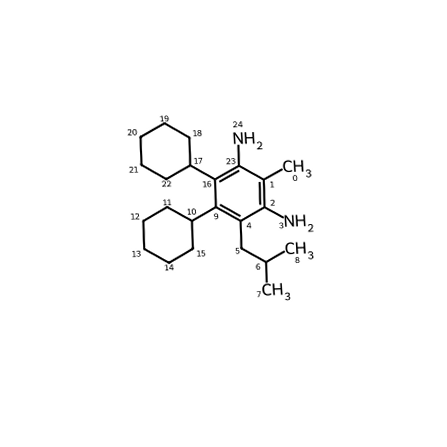 Cc1c(N)c(CC(C)C)c(C2CCCCC2)c(C2CCCCC2)c1N